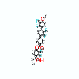 CCOc1ccc(-c2ccc(C3=CCC(C(=O)Oc4ccc(C(O)CC)c(F)c4F)CC3)c(F)c2F)c(F)c1F